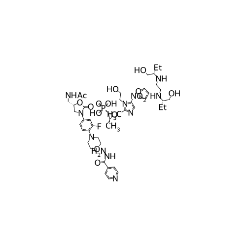 CC(=O)NC[C@H]1CN(c2ccc(N3CCOCC3)c(F)c2)C(=O)O1.CC[C@@H](CO)NCCN[C@@H](CC)CO.C[C@@H]1O[C@@H]1P(=O)(O)O.Cc1ncc([N+](=O)[O-])n1CCO.NNC(=O)c1ccncc1.c1ccoc1